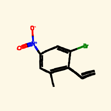 C=Cc1c(C)cc([N+](=O)[O-])cc1Br